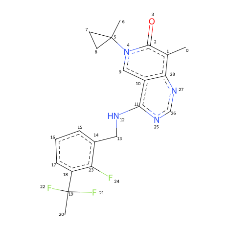 Cc1c(=O)n(C2(C)CC2)cc2c(NCc3cccc(C(C)(F)F)c3F)ncnc12